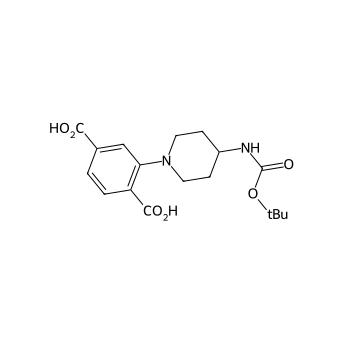 CC(C)(C)OC(=O)NC1CCN(c2cc(C(=O)O)ccc2C(=O)O)CC1